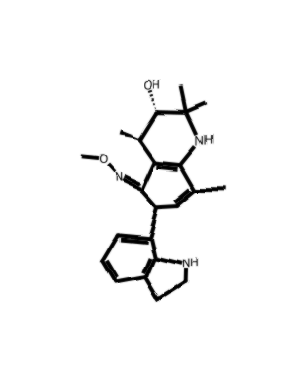 CON=C1C2=C(NC(C)(C)[C@@H](O)[C@@H]2C)C(C)=CC1c1cccc2c1NCC2